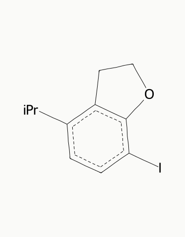 CC(C)c1ccc(I)c2c1CCO2